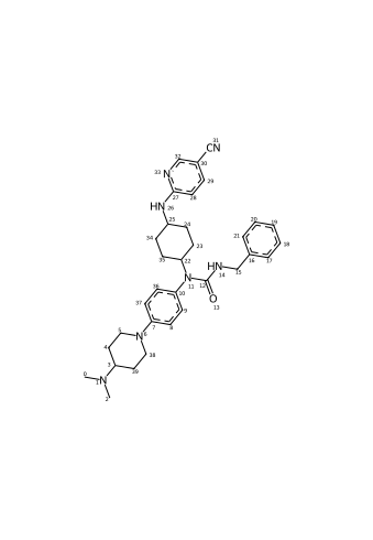 CN(C)C1CCN(c2ccc(N(C(=O)NCc3ccccc3)C3CCC(Nc4ccc(C#N)cn4)CC3)cc2)CC1